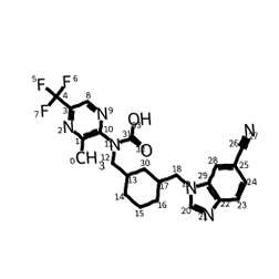 Cc1nc(C(F)(F)F)cnc1N(CC1CCCC(Cn2cnc3ccc(C#N)cc32)C1)C(=O)O